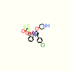 COc1ccccc1-n1nc(OC2CCNCC2)cc1-c1ccc(Cl)cc1.O=C(O)C(F)(F)F